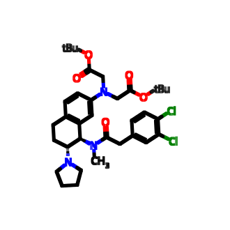 CN(C(=O)Cc1ccc(Cl)c(Cl)c1)[C@@H]1c2cc(N(CC(=O)OC(C)(C)C)CC(=O)OC(C)(C)C)ccc2CC[C@H]1N1CCCC1